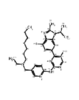 CCCCCCCN(CC)Cc1ccc(Nc2ncc(F)c(-c3cc(F)c4nc(C)n(C(C)C)c4c3)n2)nc1